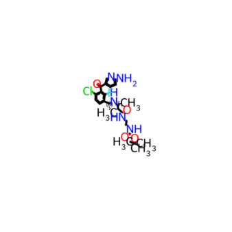 CC[C@@H](N[C@@H](C)CC(=O)NCCNC(=O)OC(C)(C)C)c1ccc(Cl)c(C(=O)c2ccc(N)nc2)c1F